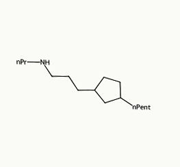 [CH2]CCCCC1CCC(CCCNCCC)C1